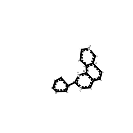 c1ccc(-c2ncc3ccc4cnccc4c3n2)cc1